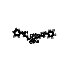 CO[Si](CCCNc1ccccc1)(OC)OCCCCNc1ccccc1